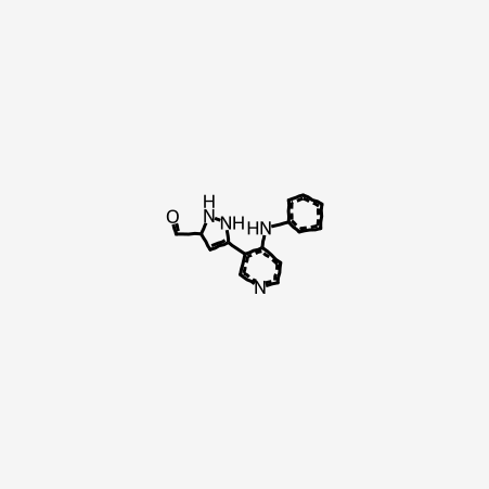 O=CC1C=C(c2cnccc2Nc2ccccc2)NN1